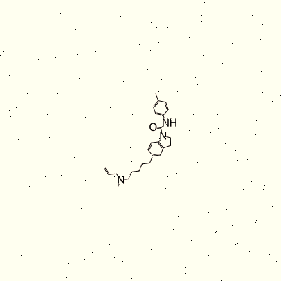 C=CCN(C)CCCCCc1ccc2c(c1)CCN2C(=O)Nc1ccc(C)cc1